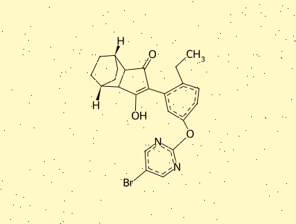 CCc1ccc(Oc2ncc(Br)cn2)cc1C1=C(O)C2C(C1=O)[C@H]1CC[C@@H]2CC1